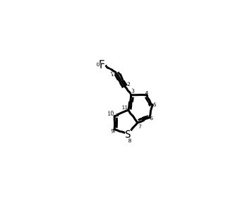 FC#Cc1cccc2s[c]cc12